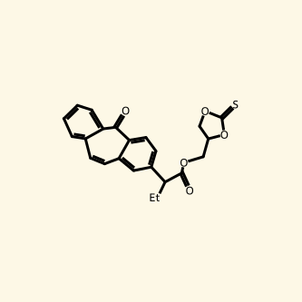 CCC(C(=O)OCC1COC(=S)O1)c1ccc2c(=O)c3ccccc3ccc2c1